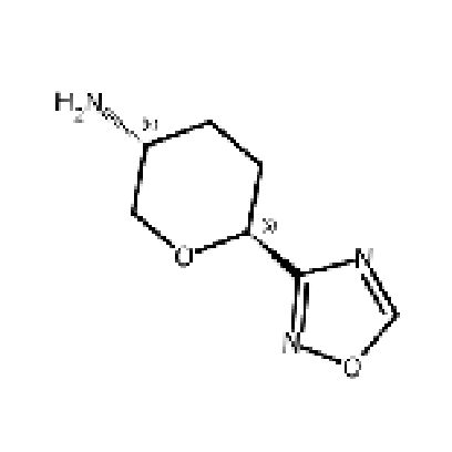 N[C@@H]1CC[C@@H](c2ncon2)OC1